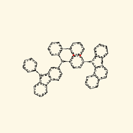 c1ccc(-c2ccccc2N(c2ccc(-n3c4ccccc4c4ccc5ccccc5c43)cc2)c2ccc3c4ccccc4n(-c4ccccc4)c3c2)cc1